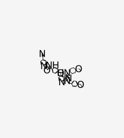 COc1ccc(Cn2nc(N[C@H]3CC[C@@H](OC)CC3)c3c(Oc4ccc(C(=O)Nc5cc(C#N)ccn5)cc4)ccnc32)cc1